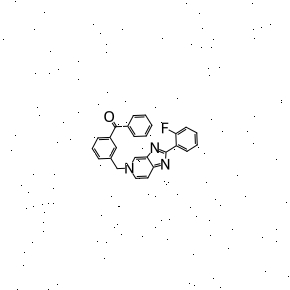 O=C(c1ccccc1)c1cccc(Cn2ccc3nc(-c4ccccc4F)nc-3c2)c1